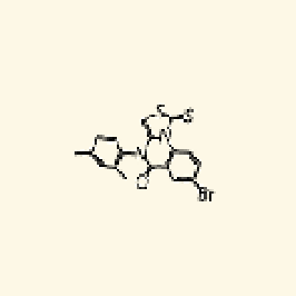 Cc1ccc(-n2c(=O)c3cc(Br)ccc3n3c(=S)scc23)c(C)c1